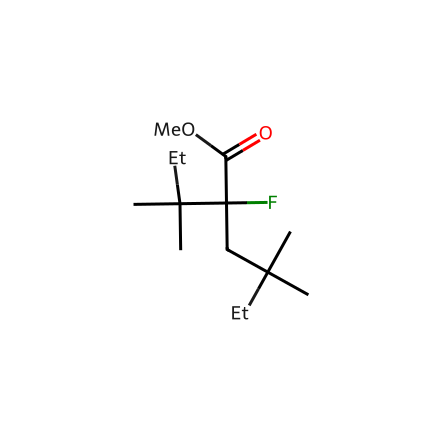 CCC(C)(C)CC(F)(C(=O)OC)C(C)(C)CC